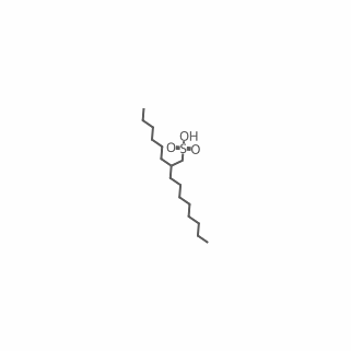 CCCCCCCCC(CCCCCC)CS(=O)(=O)O